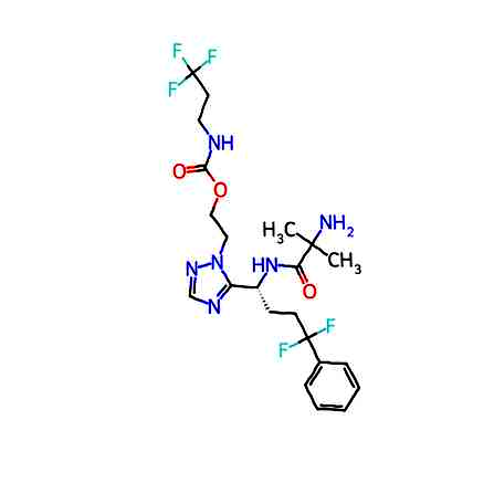 CC(C)(N)C(=O)N[C@H](CCC(F)(F)c1ccccc1)c1ncnn1CCOC(=O)NCCC(F)(F)F